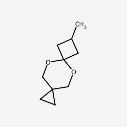 CC1CC2(C1)OCC1(CC1)CO2